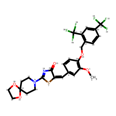 COc1cc(/C=C2/SC(N3CCC4(CC3)OCCO4)=NC2=O)ccc1OCc1ccc(C(F)(F)F)cc1C(F)(F)F